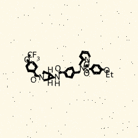 CCOc1ccc(S(=O)(=O)N(Cc2ccc(C(=O)N[C@@H]3[C@@H]4CN(C(=O)c5ccc(OC(F)(F)F)cc5)C[C@@H]43)cc2)Cc2ccccn2)cc1